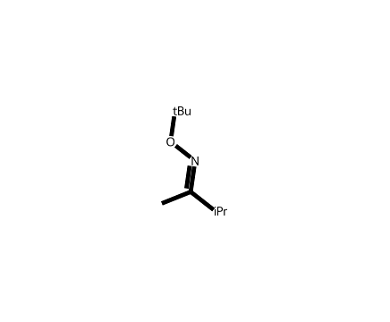 C/C(=N\OC(C)(C)C)C(C)C